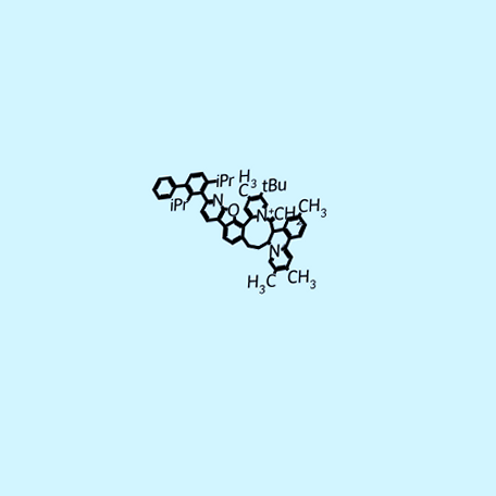 C=C1C2c3cc(C)ccc3-c3cc(C)c(C)c[n+]3C2CCc2ccc3c(oc4nc(-c5c(C(C)C)ccc(-c6ccccc6)c5C(C)C)ccc43)c2-c2cc(C)c(C(C)(C)C)c[n+]21